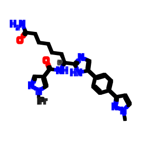 CC(C)n1cc(C(=O)N[C@@H](CCCCCC(N)=O)c2ncc(-c3ccc(-c4ccn(C)n4)cc3)[nH]2)cn1